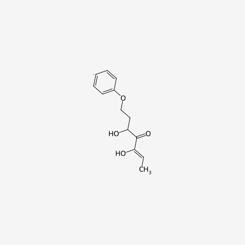 CC=C(O)C(=O)C(O)CCOc1cc[c]cc1